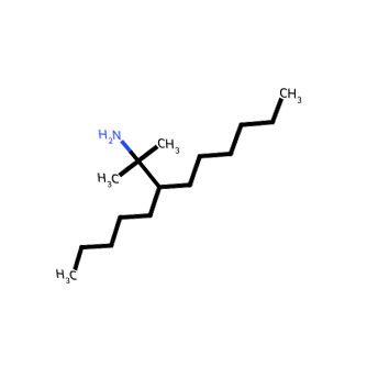 CCCCCCC(CCCCC)C(C)(C)N